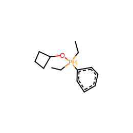 CC[PH](CC)(OC1CCC1)c1ccccc1